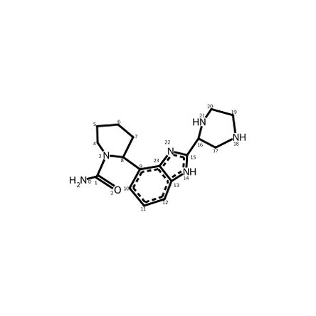 NC(=O)N1CCCCC1c1cccc2[nH]c(C3CNCCN3)nc12